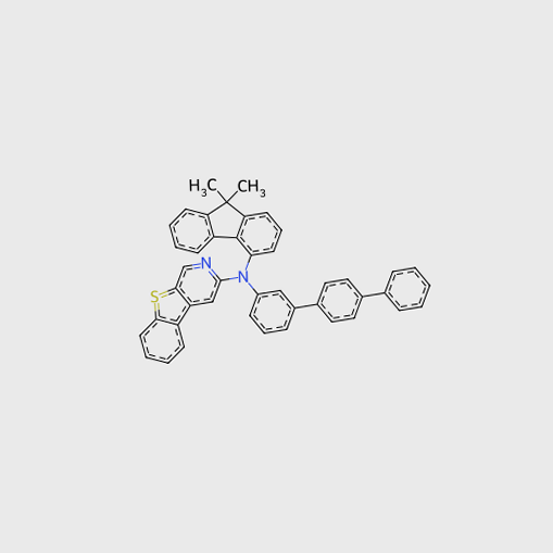 CC1(C)c2ccccc2-c2c(N(c3cccc(-c4ccc(-c5ccccc5)cc4)c3)c3cc4c(cn3)sc3ccccc34)cccc21